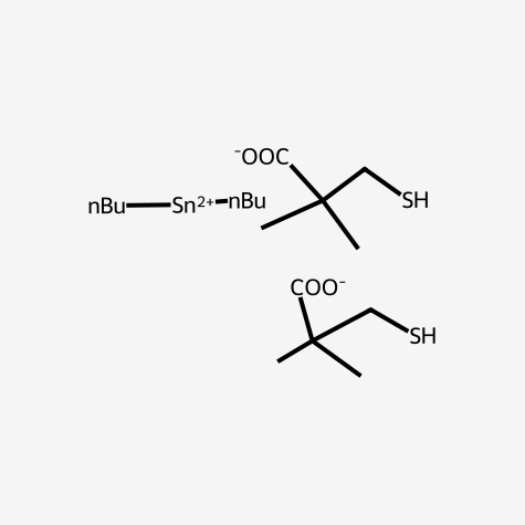 CC(C)(CS)C(=O)[O-].CC(C)(CS)C(=O)[O-].CCC[CH2][Sn+2][CH2]CCC